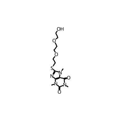 Cn1c(=O)c2c(nc(SCCOCCOCCO)n2C)n(C)c1=O